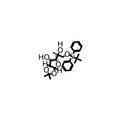 CC1(C)O[C@H]2O[C@H]([C@](C)(O)CO[Si](c3ccccc3)(c3ccccc3)C(C)(C)C)[C@@H](O)[C@H]2O1